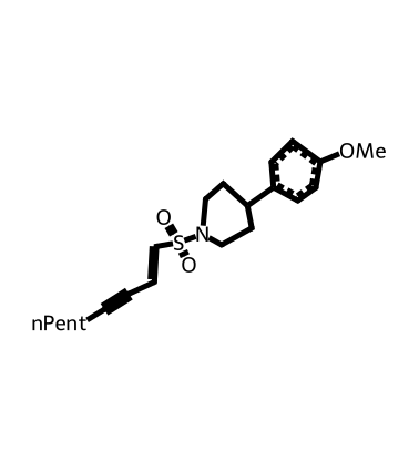 CCCCCC#CC=CS(=O)(=O)N1CCC(c2ccc(OC)cc2)CC1